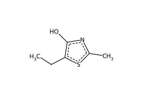 CCc1sc(C)nc1O